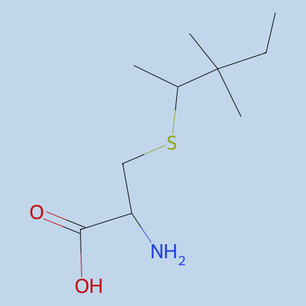 CCC(C)(C)C(C)SCC(N)C(=O)O